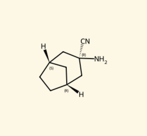 N#C[C@]1(N)C[C@@H]2CC[C@@H](C2)C1